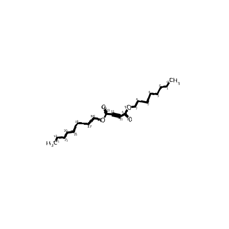 CCCCCCCCOC(=O)C#CC(=O)OCCCCCCCC